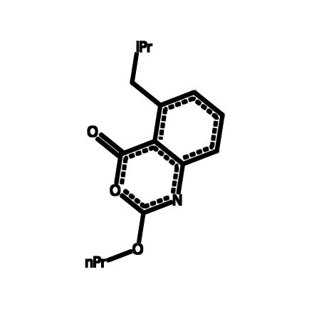 CCCOc1nc2cccc(CC(C)C)c2c(=O)o1